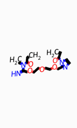 C=CC(=O)N(C=C)C(=N)COCCOCCOCc1nccn1C(=O)C=C